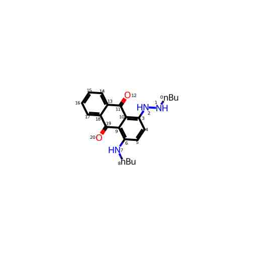 CCCCNNc1ccc(NCCCC)c2c1C(=O)c1ccccc1C2=O